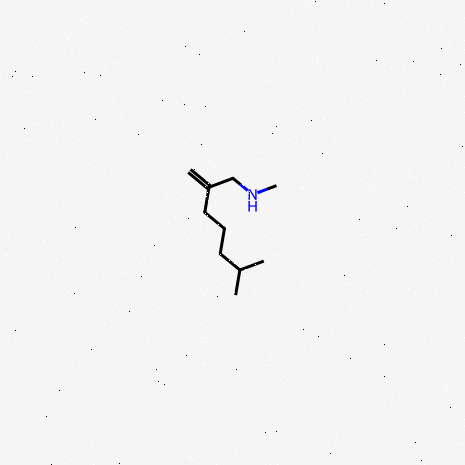 C=C(CCCC(C)C)CNC